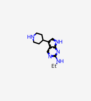 CCNc1ncc2c(C3CCNCC3)c[nH]c2n1